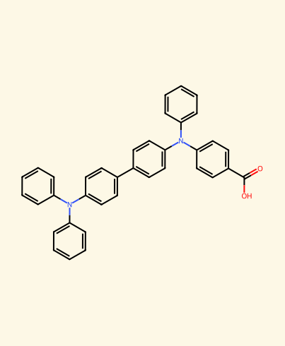 O=C(O)c1ccc(N(c2ccccc2)c2ccc(-c3ccc(N(c4ccccc4)c4ccccc4)cc3)cc2)cc1